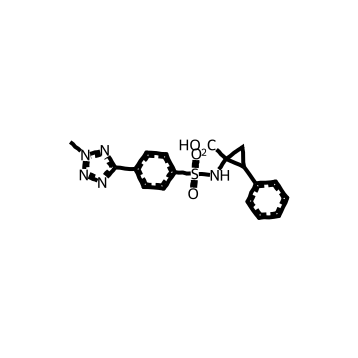 Cn1nnc(-c2ccc(S(=O)(=O)NC3(C(=O)O)CC3c3ccccc3)cc2)n1